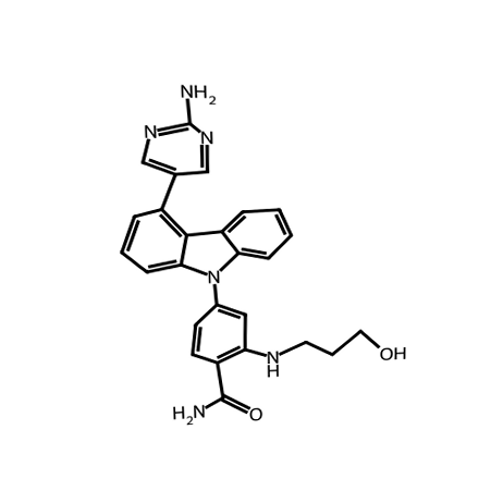 NC(=O)c1ccc(-n2c3ccccc3c3c(-c4cnc(N)nc4)cccc32)cc1NCCCO